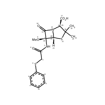 CO[C@@]1(NC(=O)CSc2ccccc2)C(=O)N2[C@@H](C(=O)O)C(C)(C)S[C@@H]21